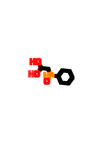 O=[PH](CC(O)O)C1CCCCC1